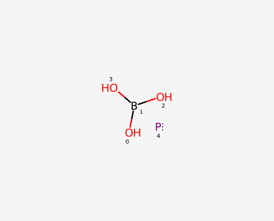 OB(O)O.[P]